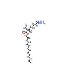 CCCCCCCCCCCCCCCC(=O)N(CC)C(=O)CCCCCN